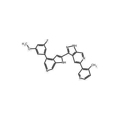 COc1cc(F)cc(-c2cncc3[nH]c(-c4n[nH]c5cnc(-c6cnccc6C)cc45)cc23)c1